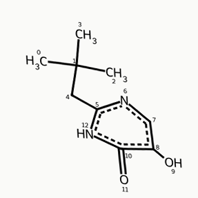 CC(C)(C)Cc1ncc(O)c(=O)[nH]1